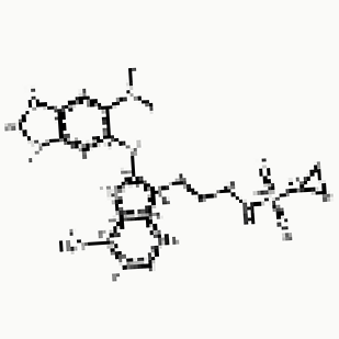 CN(C)c1cc2c(cc1Sc1nc3c(N)ncnc3n1CCCNS(=O)(=O)C1CC1)OCO2